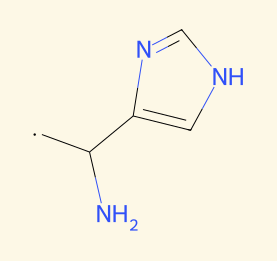 [CH2]C(N)c1c[nH]cn1